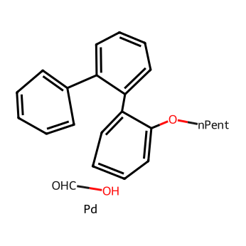 CCCCCOc1ccccc1-c1ccccc1-c1ccccc1.O=CO.[Pd]